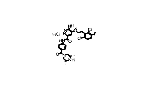 C[C@@H]1CN(C(=O)c2ccc(NC(=O)c3cc(OCCc4c(Cl)ccc(F)c4Cl)c(N)nn3)cc2)C[C@H](C)N1.Cl